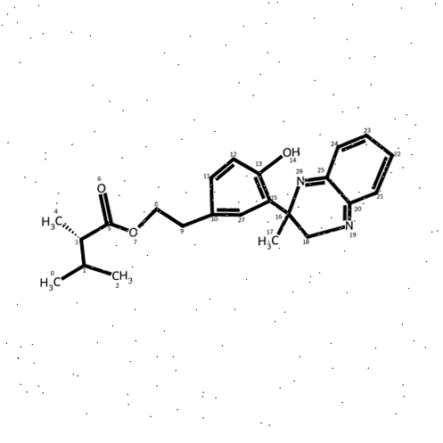 CC(C)[C@H](C)C(=O)OCCc1ccc(O)c(C2(C)CN=c3ccccc3=N2)c1